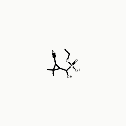 CCOP(=O)(O)C(O)C1C(C#N)C1(C)C